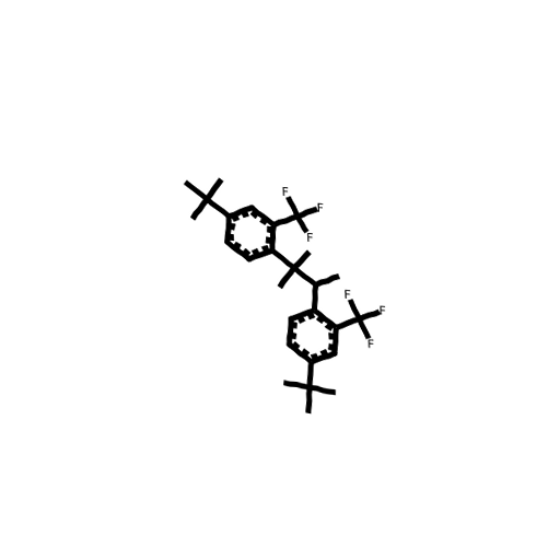 CC(c1ccc(C(C)(C)C)cc1C(F)(F)F)C(C)(C)c1ccc(C(C)(C)C)cc1C(F)(F)F